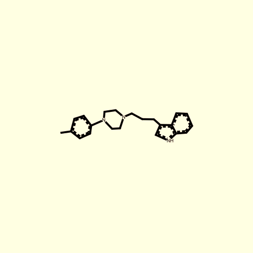 Cc1ccc(N2CCN(CCCc3c[nH]c4ccccc34)CC2)cc1